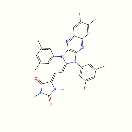 Cc1cc(C)cc(N2C(=C/C=C3/C(=O)N(C)C(=O)N3C)N(c3cc(C)cc(C)c3)c3nc4cc(C)c(C)cc4nc32)c1